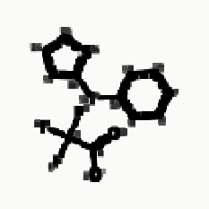 O=C([O-])C(F)(F)F.c1ccc([I+]c2cccs2)cc1